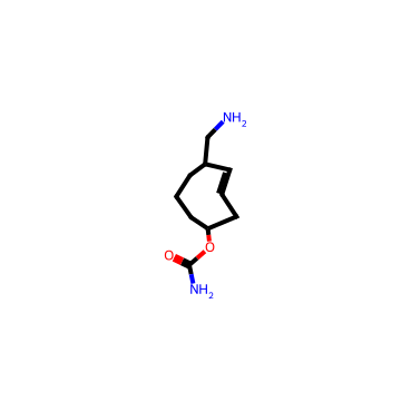 NCC1/C=C/CC(OC(N)=O)CCC1